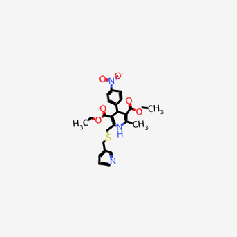 CCOC(=O)C1=C(C)NC(CSCc2cccnc2)=C(C(=O)OCC)C1c1ccc([N+](=O)[O-])cc1